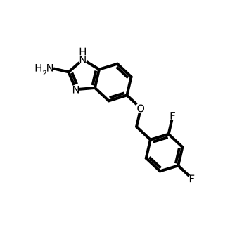 Nc1nc2cc(OCc3ccc(F)cc3F)ccc2[nH]1